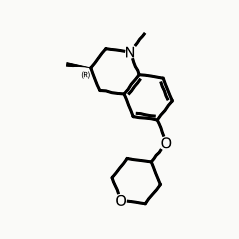 C[C@@H]1Cc2cc(OC3CCOCC3)ccc2N(C)C1